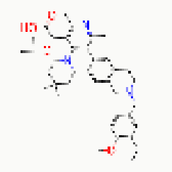 COc1ccc(CN2CCc3cc(-c4c(C)nc(C)c([C@H](OC(C)(C)C)C(=O)O)c4N4CCC(C)(C)CC4)ccc3C2)cc1C(C)C